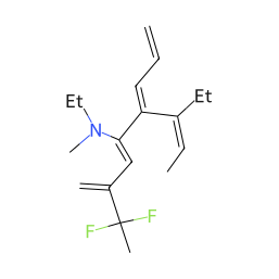 C=C/C=C(C(=C/C)\CC)/C(=C/C(=C)C(C)(F)F)N(C)CC